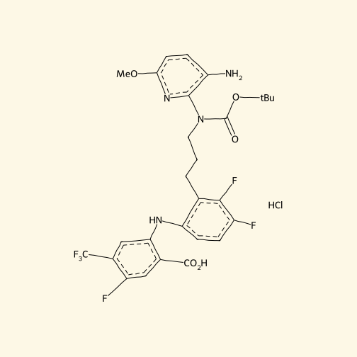 COc1ccc(N)c(N(CCCc2c(Nc3cc(C(F)(F)F)c(F)cc3C(=O)O)ccc(F)c2F)C(=O)OC(C)(C)C)n1.Cl